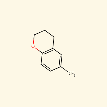 FC(F)(F)c1ccc2c(c1)CCCO2